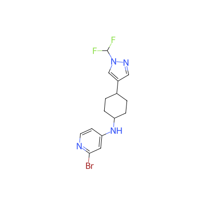 FC(F)n1cc(C2CCC(Nc3ccnc(Br)c3)CC2)cn1